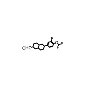 O=CC1CCC2CC(c3ccc(OC(F)F)c(F)c3)CCC2C1